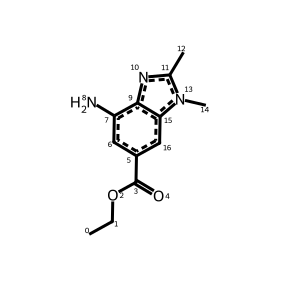 CCOC(=O)c1cc(N)c2nc(C)n(C)c2c1